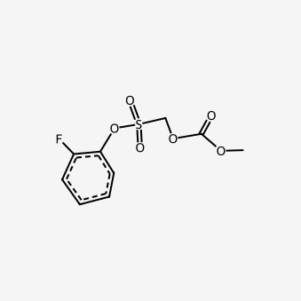 COC(=O)OCS(=O)(=O)Oc1ccccc1F